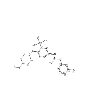 CCN1CCN(Cc2ccc(NC(=O)Cc3ccnc(Br)c3)cc2C(F)(F)F)CC1